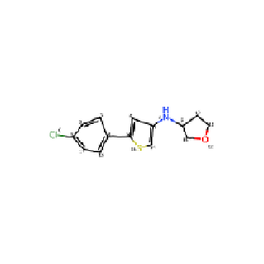 Clc1ccc(-c2cc(NC3CCOC3)cs2)cc1